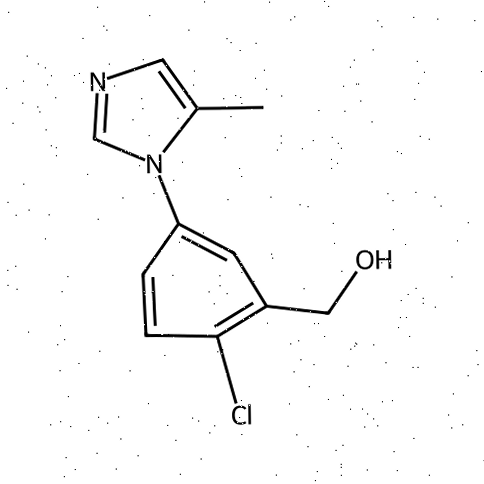 Cc1cncn1-c1ccc(Cl)c(CO)c1